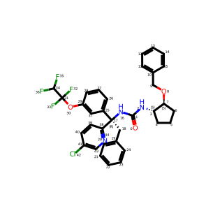 O=C(N[C@H]1CCC[C@@H]1OCc1ccccc1)N[C@](Cc1ccccc1)(c1cccc(OC(F)(F)C(F)F)c1)c1ccc(Cl)cn1